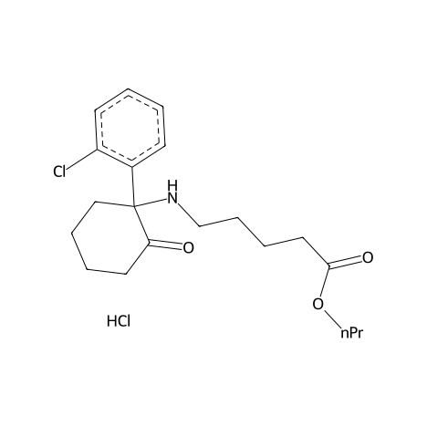 CCCOC(=O)CCCCNC1(c2ccccc2Cl)CCCCC1=O.Cl